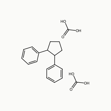 O=C(O)O.O=C(O)O.c1ccc(C2CCCC2c2ccccc2)cc1